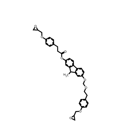 CC1c2cc(OCOCCc3ccc(OCC4CO4)cc3)ccc2-c2ccc(OC(=O)CCc3ccc(OCC4CO4)cc3)cc21